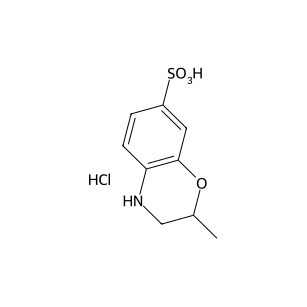 CC1CNc2ccc(S(=O)(=O)O)cc2O1.Cl